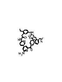 CCc1ccc(NC(=O)CN(Cc2ccccc2CNC)C(=O)C2(C)CCN(C(=O)c3cccc(N)n3)CC2)cc1CC(=O)Nc1ccccn1